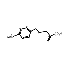 C=C(CCCc1ccc(NC)cc1)C(=O)O